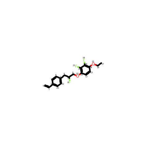 C=Cc1ccc(CC(F)COc2ccc(OCC)c(F)c2F)cc1